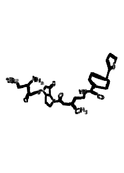 CC(CCNC(=O)c1ccc(-c2cccs2)cc1)CC(=O)N1CCC2C1C(=O)CN2C(=O)C(N)CC(C)(C)C